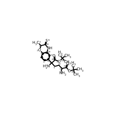 CC1Oc2ccc(C(N)(CCC(N)C(=O)OC(C)(C)C)C(=O)OC(C)(C)C)cc2NC1=S